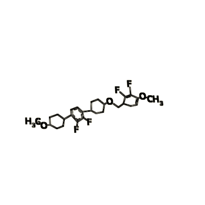 COC1=CCC(COC2CCC(c3ccc(C4CCC(OC)CC4)c(F)c3F)CC2)C(F)=C1F